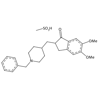 COc1cc2c(cc1OC)C(=O)C(CC1CCN(Cc3ccccc3)CC1)C2.CS(=O)(=O)O